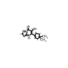 CC(C)c1c(C2=CCC(C)(C)CC2)[nH]c2ncnn2c1=O